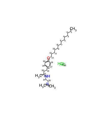 CCCCCCCCCCCCCCOc1ccc(CCC(C)NCCN(C)C)cc1.Cl.Cl